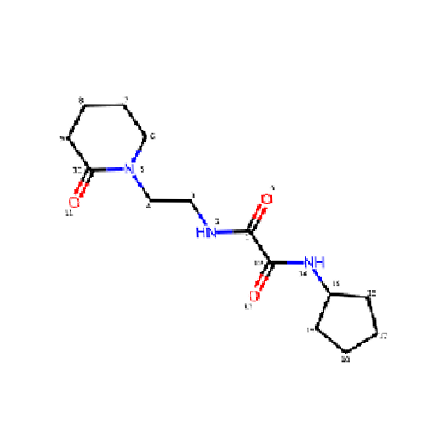 O=C(NCCN1CCCCC1=O)C(=O)NC1CCCC1